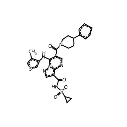 Cc1cscc1Nc1c(C(=O)N2CCC(c3ccccc3)CC2)cnc2c(C(=O)NS(=O)(=O)C3CC3)cnn12